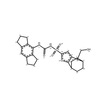 O=C(Nc1c2c(cc3c1CCC3)CCC2)NS(=O)(=O)c1cc2c(o1)C1CCC(CC1)C2CO